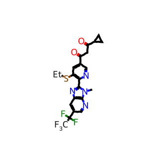 CCSc1cc(C(=O)CC(=O)C2CC2)cnc1-c1nc2cc(C(F)(F)C(F)(F)F)cnc2n1C